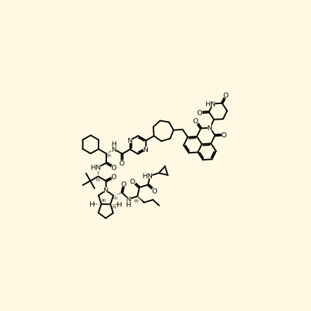 CCC[C@@H](NC(=O)[C@@H]1[C@H]2CCC[C@H]2CN1C(=O)[C@@H](NC(=O)[C@@H](NC(=O)c1cnc(C2CCCC(Cc3ccc4cccc5c4c3C(=O)N(C3CCC(=O)NC3=O)C5=O)CC2)cn1)C1CCCCC1)C(C)(C)C)C(=O)C(=O)NC1CC1